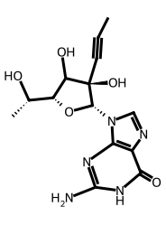 CC#C[C@@]1(O)C(O)[C@@H]([C@H](C)O)O[C@H]1n1cnc2c(=O)[nH]c(N)nc21